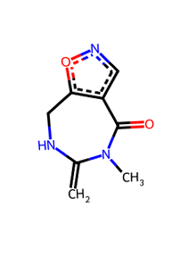 C=C1NCc2oncc2C(=O)N1C